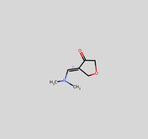 CN(C)/C=C1\COCC1=O